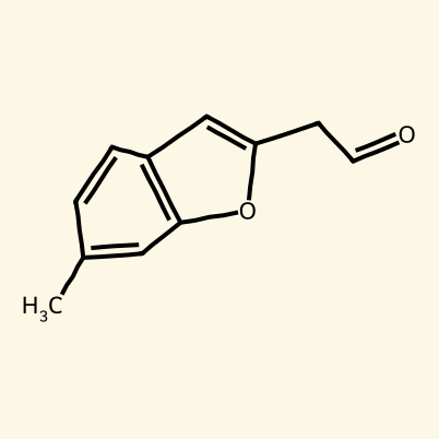 Cc1ccc2cc(CC=O)oc2c1